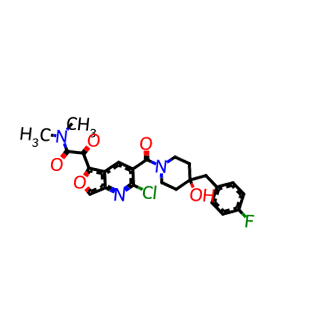 CN(C)C(=O)C(=O)c1occ2nc(Cl)c(C(=O)N3CCC(O)(Cc4ccc(F)cc4)CC3)cc12